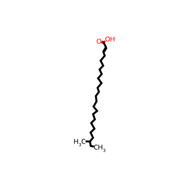 CCC(C)CCCCCCCCCCCCCCCCCCCC=CC(=O)O